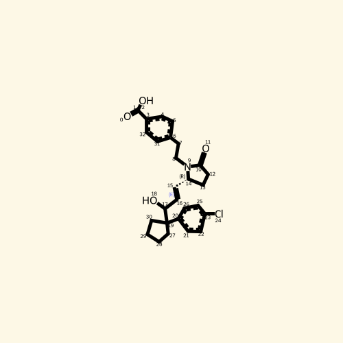 O=C(O)c1ccc(CCN2C(=O)CC[C@@H]2/C=C/C(O)C2(c3ccc(Cl)cc3)CCCC2)cc1